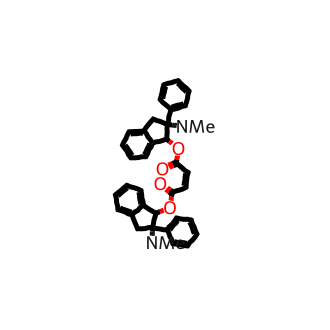 CNC1(c2ccccc2)Cc2ccccc2C1OC(=O)/C=C\C(=O)OC1c2ccccc2CC1(NC)c1ccccc1